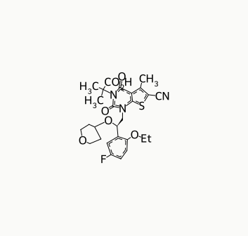 CCOc1ccc(F)cc1[C@H](Cn1c(=O)n(C(C)(C)C(=O)O)c(=O)c2c(C)c(C#N)sc21)OC1CCOCC1